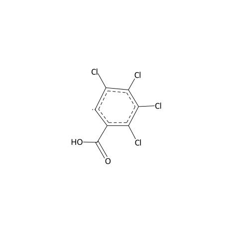 O=C(O)c1[c]c(Cl)c(Cl)c(Cl)c1Cl